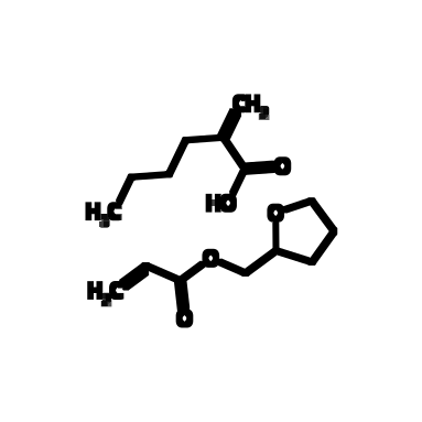 C=C(CCCC)C(=O)O.C=CC(=O)OCC1CCCO1